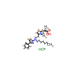 CCCCCCCN(CCc1csc(SC(C)(C)C(=O)O)n1)c1nc(-c2ccccc2)cs1.Cl